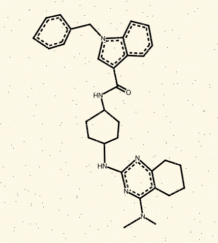 CN(C)c1nc(NC2CCC(NC(=O)c3cn(Cc4ccccc4)c4ccccc34)CC2)nc2c1CCCC2